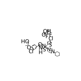 CC(CO)Oc1ccc(C(=O)Nc2nc(-c3cc(Cl)cs3)c(N3CCN(C4CCCCC4)CC3)s2)cc1Cl.O=C(O)C(F)(F)F